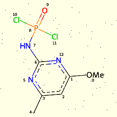 COc1cc(C)nc(NP(=O)(Cl)Cl)n1